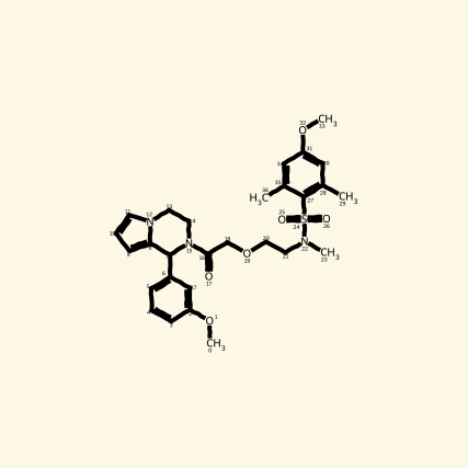 COc1cccc(C2c3cccn3CCN2C(=O)COCCN(C)S(=O)(=O)c2c(C)cc(OC)cc2C)c1